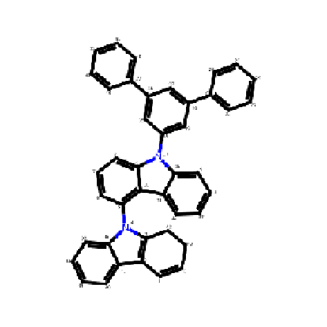 C1=Cc2c(n(-c3cccc4c3c3ccccc3n4-c3cc(-c4ccccc4)cc(-c4ccccc4)c3)c3ccccc23)CC1